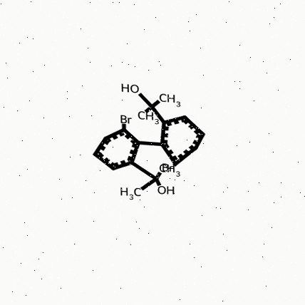 CC(C)(O)c1cccc(Br)c1-c1c(Br)cccc1C(C)(C)O